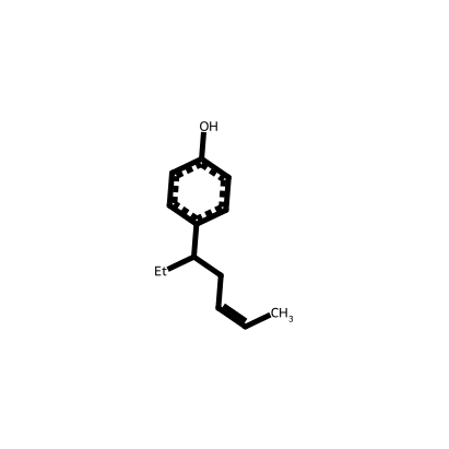 C/C=C\CC(CC)c1ccc(O)cc1